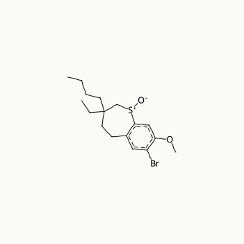 CCCCC1(CC)CCc2cc(Br)c(OC)cc2[S+]([O-])C1